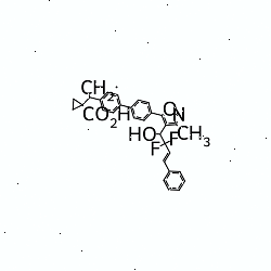 [CH2]C(c1ccc(-c2ccc(-c3onc(C)c3C(O)C(F)(F)/C=C/c3ccccc3)cc2)cc1)C1(C(=O)O)CC1